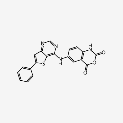 O=c1[nH]c2ccc(Nc3ncnc4cc(-c5ccccc5)sc34)cc2c(=O)o1